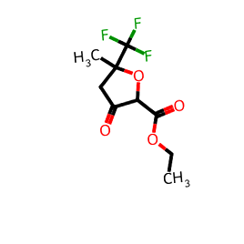 CCOC(=O)C1OC(C)(C(F)(F)F)CC1=O